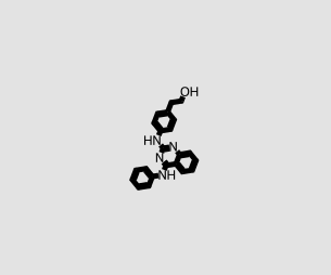 OCCc1ccc(Nc2nc(Nc3ccccc3)c3ccccc3n2)cc1